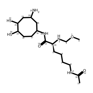 COCN[C@@H](CCCCNC(C)=O)C(=O)NC1CCC(S)C(S)CC(N)C1